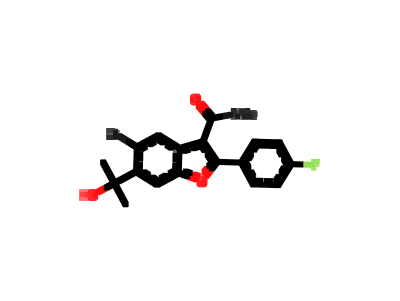 CCc1cc2c(C(=O)NC)c(-c3ccc(F)cc3)oc2cc1C(C)(C)O